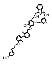 Cc1c(COc2cc(OCc3cncc(C#N)c3)c(CNCc3nn(C)c4ccccc34)cc2Cl)cccc1-c1cccc(OCCCN2CC[C@@H](O)C2)c1C